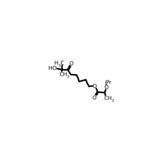 CC(C)OC(C)C(=O)OCCCCCC(=O)C(C)(C)O